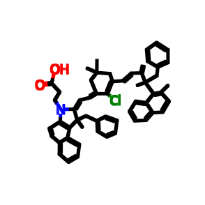 C=C(/C=C/C1=C(Cl)C(=C/C=C2/N(CCC(=O)O)c3ccc4ccccc4c3C2(C)Cc2ccccc2)/CC(C)(C)C1)C(C)(Cc1ccccc1)c1c(C)ccc2ccccc12